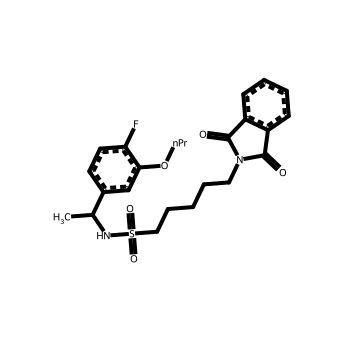 CCCOc1cc(C(C)NS(=O)(=O)CCCCCN2C(=O)c3ccccc3C2=O)ccc1F